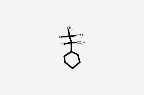 CCC(C)(C(=O)O)C(CC)(C(=O)O)C1CCCCC1